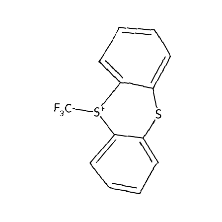 FC(F)(F)[S+]1c2ccccc2Sc2ccccc21